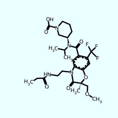 CCC(=O)NCCN1C(=O)[C@](C)(COC)Oc2cc(C(F)(F)F)c(C(=O)N(C(C)C)[C@@H]3CCCN(C(=O)O)C3)cc21